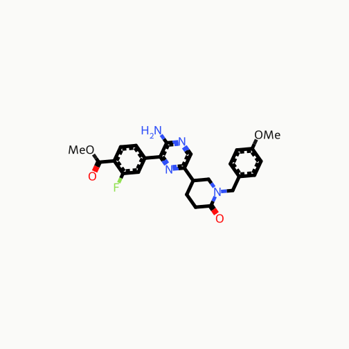 COC(=O)c1ccc(-c2nc(C3CCC(=O)N(Cc4ccc(OC)cc4)C3)cnc2N)cc1F